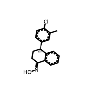 Cc1cc([C@@H]2CCC(=NO)c3ccccc32)ccc1Cl